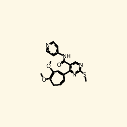 COC1=C(OC)CC=CC(c2nc(SC)ncc2C(=O)Nc2ccncc2)=C1